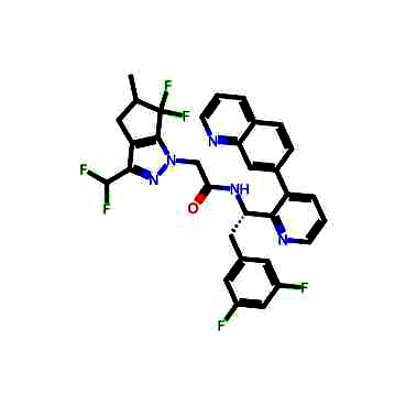 CC1Cc2c(C(F)F)nn(CC(=O)N[C@@H](Cc3cc(F)cc(F)c3)c3ncccc3-c3ccc4cccnc4c3)c2C1(F)F